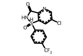 O=C1N[SH](=O)(c2ccc(C(F)(F)F)cc2)c2cc(Cl)cnc21